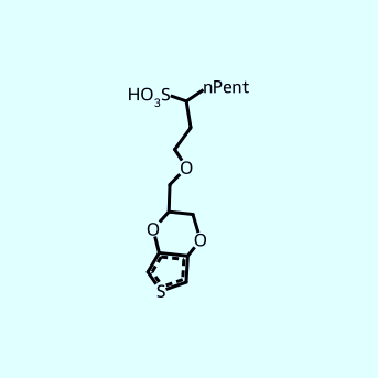 CCCCCC(CCOCC1COc2cscc2O1)S(=O)(=O)O